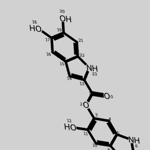 O=C(Oc1cc2[nH]ccc2cc1O)c1cc2cc(O)c(O)cc2[nH]1